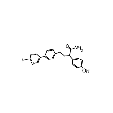 NC(=O)C(CCc1ccc(-c2ccc(F)nc2)cc1)c1ccc(O)cc1